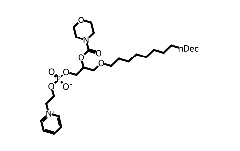 CCCCCCCCCCCCCCCCCCOCC(COP(=O)([O-])OCC[n+]1ccccc1)OC(=O)N1CCOCC1